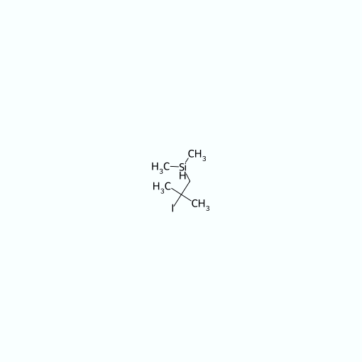 C[SiH](C)CC(C)(C)I